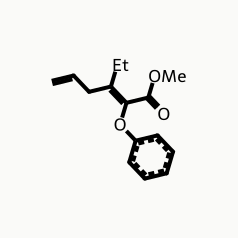 C=CCC(CC)=C(Oc1ccccc1)C(=O)OC